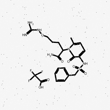 Cc1ccc(NS(=O)(=O)Cc2ccccc2)c(=O)n1C(CCCONC(=N)N)C(N)=O.O=C(O)C(F)(F)F